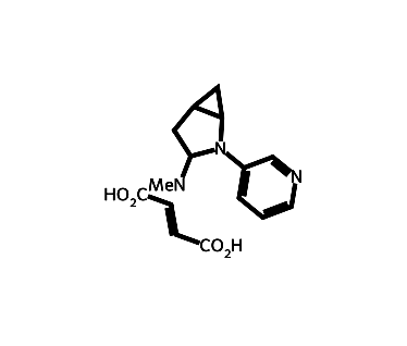 CNC1CC2CC2N1c1cccnc1.O=C(O)C=CC(=O)O